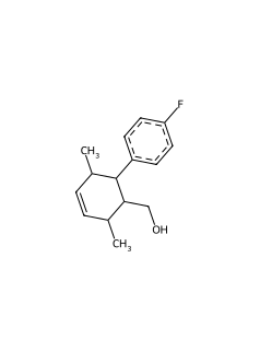 CC1C=CC(C)C(c2ccc(F)cc2)C1CO